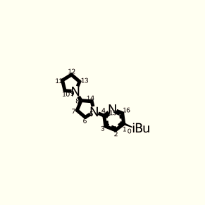 CC[C@H](C)c1ccc(N2CCC(N3CCCC3)C2)nc1